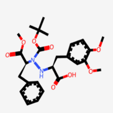 COC(=O)[C@H](Cc1ccccc1)N(N[C@@H](Cc1ccc(OC)c(OC)c1)C(=O)O)C(=O)OC(C)(C)C